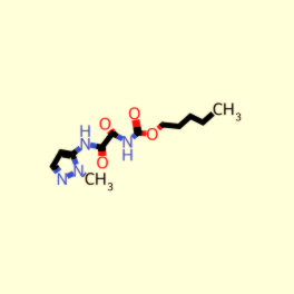 CCCCCOC(=O)NC(=O)C(=O)Nc1ccnn1C